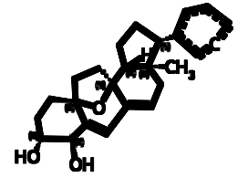 C[C@]12CC=C3C=C4[C@@H](O)[C@H](O)CC[C@]45CC[C@]3(O5)[C@@H]1CC[C@@H]2c1ccccc1